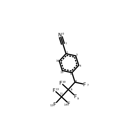 N#Cc1ccc(C(F)C(F)(F)C(F)(F)F)cc1